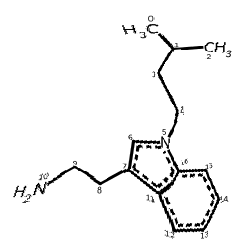 CC(C)CCn1cc(CCN)c2ccccc21